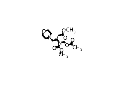 COC(=O)C[C@@H](CN1CCOCC1)N(COC(C)=O)C(=O)OC